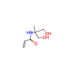 C=CC(=O)NC(C)(CO)CO